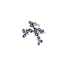 CC1(C)c2ccccc2-c2ccc(-c3cc(-c4ccc5c(c4)C(C)(C)c4ccccc4-5)c4nc(-c5ccc(-c6ccc7c(c6)nc(-c6ccccc6)n7-c6ccccc6)cc5)nc(-c5ccc(-c6ccc7c(c6)nc(-c6ccccc6)n7-c6ccccc6)cc5)c4c3)cc21